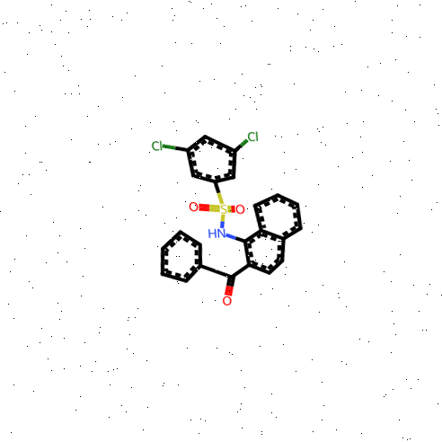 O=C(c1ccccc1)c1ccc2ccccc2c1NS(=O)(=O)c1cc(Cl)cc(Cl)c1